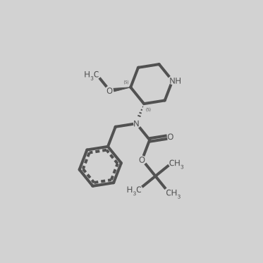 CO[C@H]1CCNC[C@@H]1N(Cc1ccccc1)C(=O)OC(C)(C)C